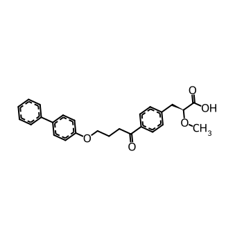 CO[C@@H](Cc1ccc(C(=O)CCCOc2ccc(-c3ccccc3)cc2)cc1)C(=O)O